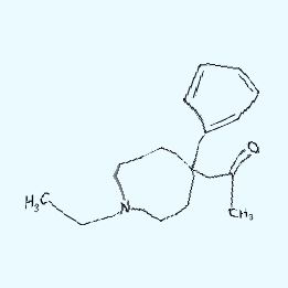 CCN1CCC(C(C)=O)(c2ccccc2)CC1